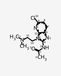 CC(=O)Nc1nc2ccc(Cl)nc2n1CCN(C)C